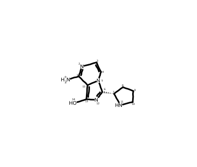 Nc1nccn2c([C@@H]3CCCN3)nc(O)c12